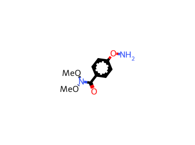 CON(OC)C(=O)c1ccc(ON)cc1